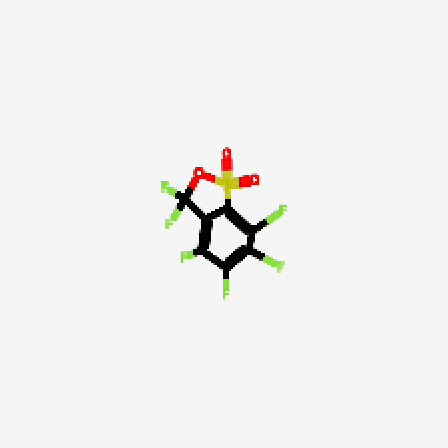 O=S1(=O)OC(F)(F)c2c(F)c(F)c(F)c(F)c21